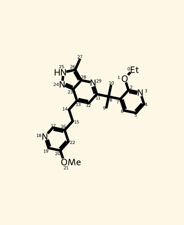 CCOc1ncccc1C(C)(C)c1cc(CCc2cncc(OC)c2)c2n[nH]c(C)c2n1